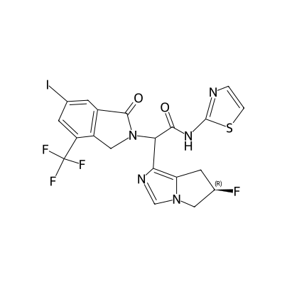 O=C(Nc1nccs1)C(c1ncn2c1C[C@@H](F)C2)N1Cc2c(cc(I)cc2C(F)(F)F)C1=O